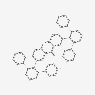 O=c1c2cc(-c3c(-c4ccccc4)cccc3-c3ccccc3)ccc2sc2ccc(-c3c(-c4ccccc4)cccc3-c3ccccc3)cc12